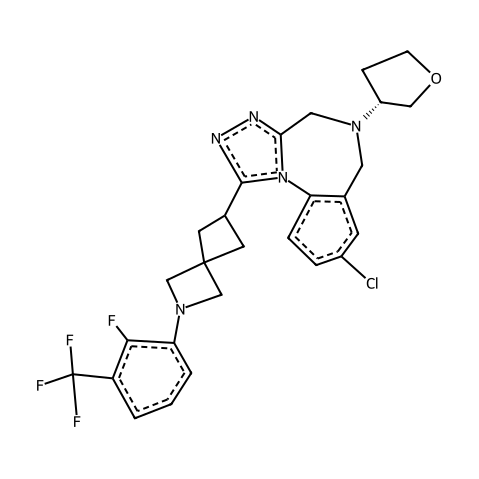 Fc1c(N2CC3(CC(c4nnc5n4-c4ccc(Cl)cc4CN([C@@H]4CCOC4)C5)C3)C2)cccc1C(F)(F)F